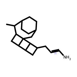 CC1C2CCC(CC2)CC23C1CC2C1CC(C/C=C/N)C13